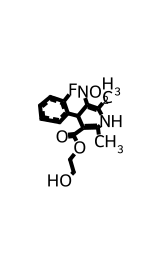 CC1=C(C(=O)OCCO)C(c2ccccc2F)C([N+](=O)[O-])=C(C)N1